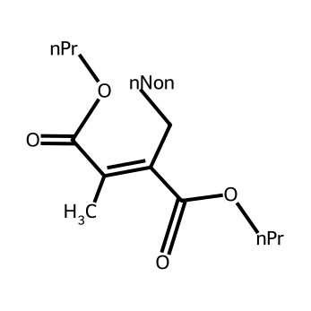 CCCCCCCCCCC(C(=O)OCCC)=C(C)C(=O)OCCC